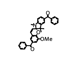 COc1cc(C(=O)c2ccccc2)cc2c1O[C@]1(C=C2)N(C)c2ccc(C(=O)c3ccccc3)cc2C1(C)C